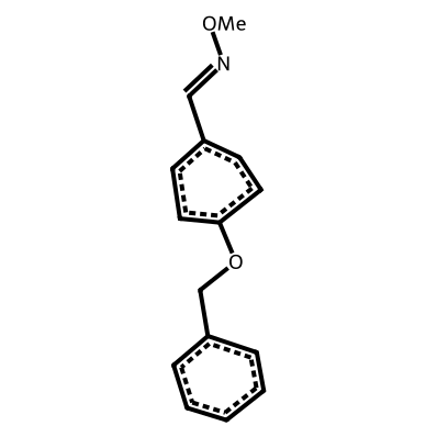 CON=Cc1ccc(OCc2ccccc2)cc1